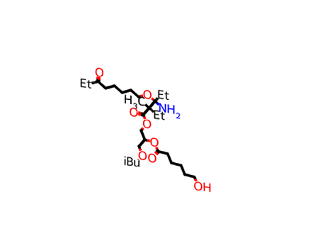 CCC(=O)CCCCCOC(N)(CC)C(C)(CC)C(=O)OCC(COC(C)CC)OC(=O)CCCCCO